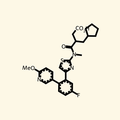 COc1ccc(-c2ccc(F)cc2-c2csc(N(C)C(=O)C(CC(=O)O)CC3CCCC3)n2)cn1